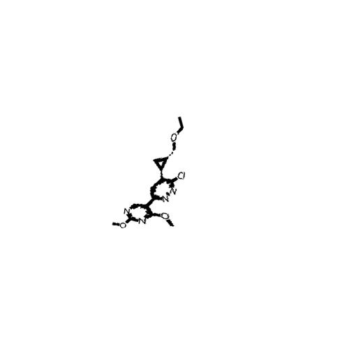 CCOC[C@H]1C[C@@H]1c1cc(-c2cnc(OC)nc2OC)nnc1Cl